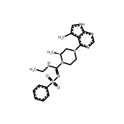 CCN/C(=N\S(=O)(=O)c1ccccc1)N1CCN(c2ncnc3[nH]cc(C)c23)C[C@@H]1C